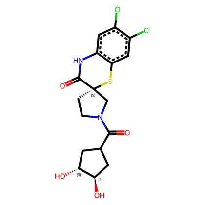 O=C(C1C[C@@H](O)[C@H](O)C1)N1CC[C@@]2(C1)Sc1cc(Cl)c(Cl)cc1NC2=O